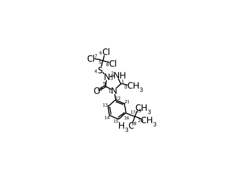 CC1NN(SC(Cl)(Cl)Cl)C(=O)N1c1cccc(C(C)(C)C)c1